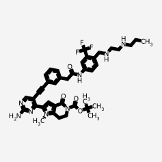 CCCNCCNCc1ccc(NC(=O)Cc2cccc(C#Cc3cnc(N)nc3-c3cc4c(n3C)CCN(C(=O)OC(C)(C)C)C4=O)c2)cc1C(F)(F)F